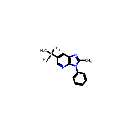 Cc1nc2cc([Si](C)(C)C)cnc2n1-c1ccccc1